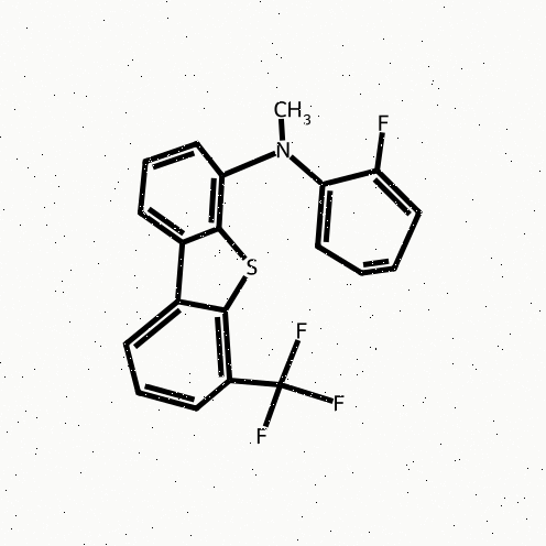 CN(c1ccccc1F)c1cccc2c1sc1c(C(F)(F)F)cccc12